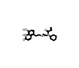 C=CC(=O)N(CCNCCc1ccc(O)c2[nH]c(=O)ccc12)C1CCCCC1